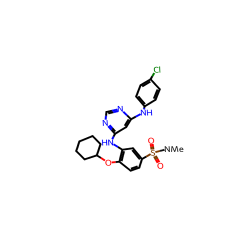 CNS(=O)(=O)c1ccc(OC2CCCCC2)c(Nc2cc(Nc3ccc(Cl)cc3)ncn2)c1